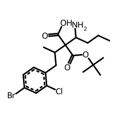 CCCC(N)C(C(=O)O)(C(=O)OC(C)(C)C)C(C)Cc1ccc(Br)cc1Cl